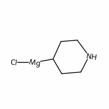 [Cl][Mg][CH]1CCNCC1